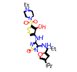 CC[C@@H](Nc1n[s+]([O-])nc1Nc1csc(S(=O)(=O)N2CCN(CC)CC2)c1O)c1cc(C(C)C)co1